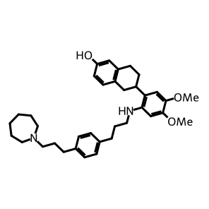 COc1cc(NCCCc2ccc(CCCN3CCCCCC3)cc2)c(C2CCc3cc(O)ccc3C2)cc1OC